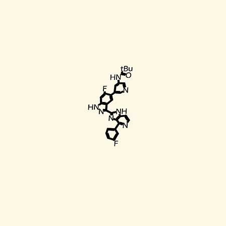 CC(C)(C)C(=O)Nc1cncc(-c2cc3c(-c4nc5c(-c6cccc(F)c6)nccc5[nH]4)n[nH]c3cc2F)c1